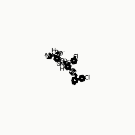 CN1CC[C@H](Nc2ccc(S(=O)(=O)NC(=O)c3ccc(N4CCN(CC5=C(c6ccc(Cl)cc6)CC(C)(C)CC5)CC4)cc3Oc3cccc(Cl)c3)cc2[N+](=O)[O-])C1